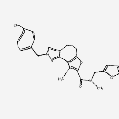 Cc1c(C(=O)N(C)Cc2ccco2)oc2c1-c1nn(Cc3ccc(Cl)cc3)cc1CC2